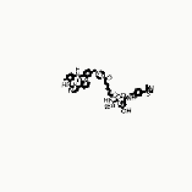 Cc1ccc(NC(=O)c2ccc(CN3CCN(C(=O)CCCCCC(=O)N[C@H](C(=O)N4CC(O)CC4C(=O)NCc4ccc(-c5scnc5C)cc4)C(C)(C)C)CC3)cc2)cc1Nc1nccc(-c2cccnc2)n1